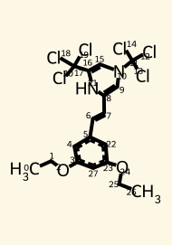 CCOc1cc(C=CC2=CN(C(Cl)(Cl)Cl)C=C(C(Cl)(Cl)Cl)N2)cc(OCC)c1